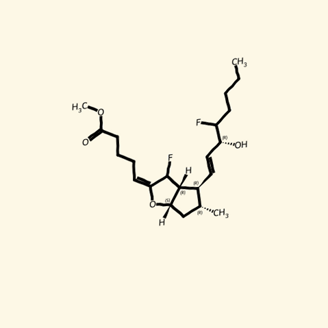 CCCCC(F)[C@H](O)C=C[C@@H]1[C@H]2C(F)C(=CCCCC(=O)OC)O[C@H]2C[C@H]1C